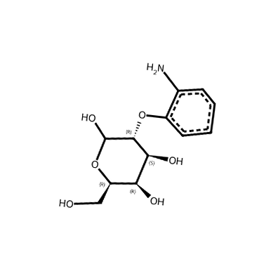 Nc1ccccc1O[C@H]1C(O)O[C@H](CO)[C@H](O)[C@@H]1O